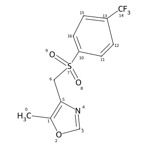 Cc1o[c]nc1CS(=O)(=O)c1ccc(C(F)(F)F)cc1